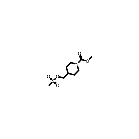 COC(=O)N1CCC(COS(C)(=O)=O)CC1